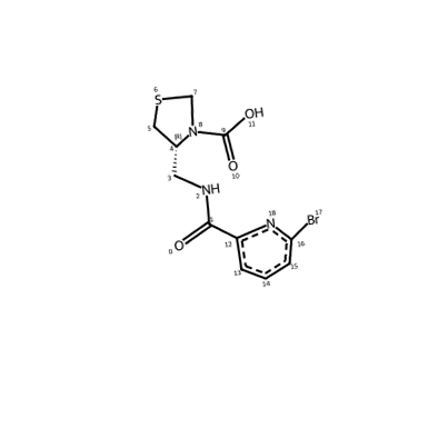 O=C(NC[C@@H]1CSCN1C(=O)O)c1cccc(Br)n1